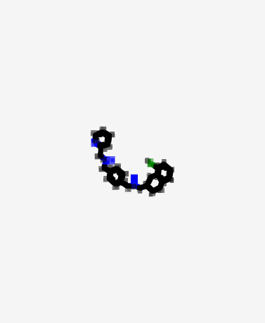 Fc1cccc2c1CC(CNCc1ccc(CNCc3ccccn3)cc1)CC2